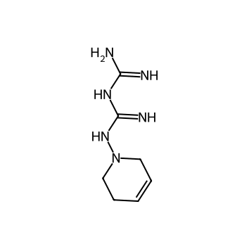 N=C(N)NC(=N)NN1CC=CCC1